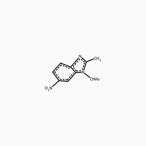 COn1c(C)nc2ccc([N+](=O)[O-])cc21